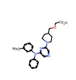 COc1cccc(N(c2ccccc2)c2cncc(N3CCC(COCC(=O)O)CC3)n2)c1